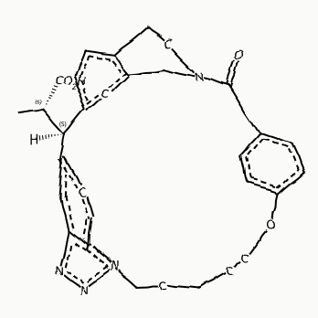 C[C@H](C(=O)O)[C@H]1c2ccc3c(c2)CN(CC3)C(=O)c2ccc(cc2)OCCCCCn2nnc3cc1ccc32